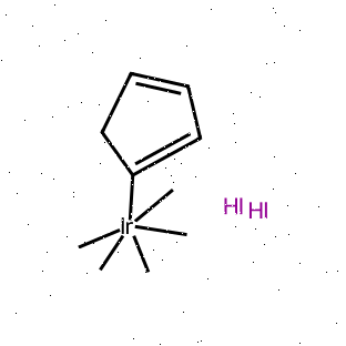 I.I.[CH3][Ir]([CH3])([CH3])([CH3])([CH3])[C]1=CC=CC1